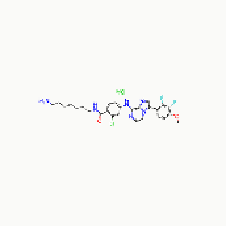 COc1ccc(-c2cnc3c(Nc4ccc(C(=O)NCCCCCCCN)c(Cl)c4)nccn23)c(F)c1F.Cl